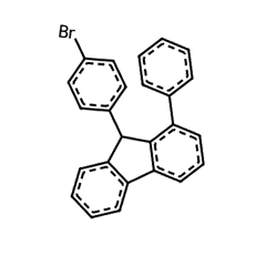 Brc1ccc(C2c3ccccc3-c3cccc(-c4ccccc4)c32)cc1